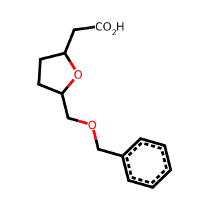 O=C(O)CC1CCC(COCc2ccccc2)O1